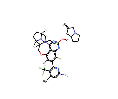 C=C1CN2CCC[C@@]2(COc2nc3c4c(c(Cl)c(-c5nc(N)cc(C)c5C(F)(F)F)c(F)c4n2)OC[C@@H]2[C@@H]4CC[C@H](CN32)N4CCCF)C1